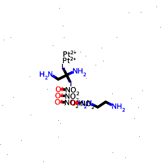 NCC(N)(I)I.NCCN.O=[N+]([O-])[O-].O=[N+]([O-])[O-].O=[N+]([O-])[O-].O=[N+]([O-])[O-].[Pt+2].[Pt+2]